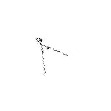 CCCCCCCCCCCCCC(=O)OCCN(CCOC(=O)CCCCCCCCCCCCC)C(=O)C[N+]1(C)CCOCC1